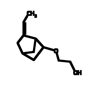 CC=C1CC2CC(OCCO)C1C2